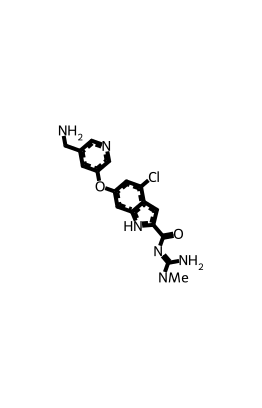 CNC(N)=NC(=O)c1cc2c(Cl)cc(Oc3cncc(CN)c3)cc2[nH]1